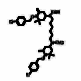 C=C1CC(N(C=O)CCCCCCN(C=O)C2CC(=C)N(OCc3ccc(Cl)cc3)C(C)(C)C2)CC(C)(C)N1OCc1ccc(Cl)cc1